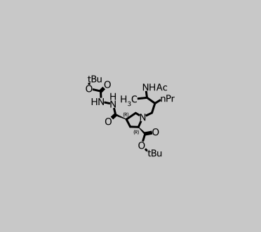 CCCC(CN1C[C@H](C(=O)NNC(=O)OC(C)(C)C)C[C@@H]1C(=O)OC(C)(C)C)C(C)NC(C)=O